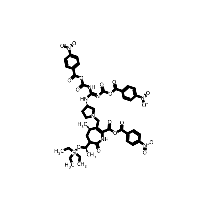 CC[Si](CC)(CC)O[C@H](C)C1C[C@@H](C)C(CN2CC[C@H](NC(=NC(=O)OC(=O)c3ccc([N+](=O)[O-])cc3)NC(=O)OC(=O)c3ccc([N+](=O)[O-])cc3)C2)=C(C(=O)OC(=O)c2ccc([N+](=O)[O-])cc2)NC1=O